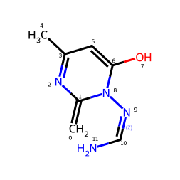 C=C1N=C(C)C=C(O)N1/N=C\N